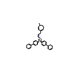 CC1C=CC(C/C=C\CN(c2ccc(C3=CCCC=C3)cc2)c2ccc(C3=CC=CCC3)cc2)=CCC1